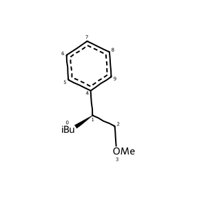 CCC(C)[C@H](COC)c1ccccc1